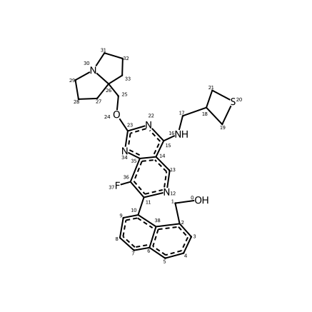 OCc1cccc2cccc(-c3ncc4c(NCC5CSC5)nc(OCC56CCCN5CCC6)nc4c3F)c12